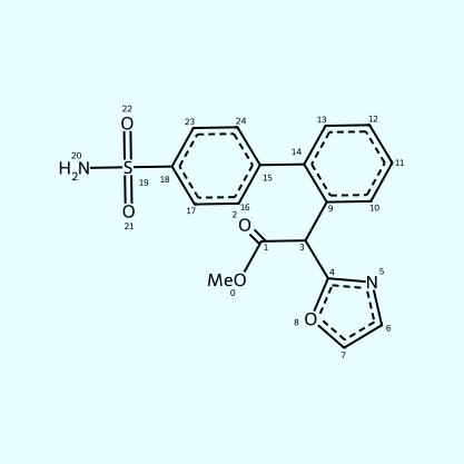 COC(=O)C(c1ncco1)c1ccccc1-c1ccc(S(N)(=O)=O)cc1